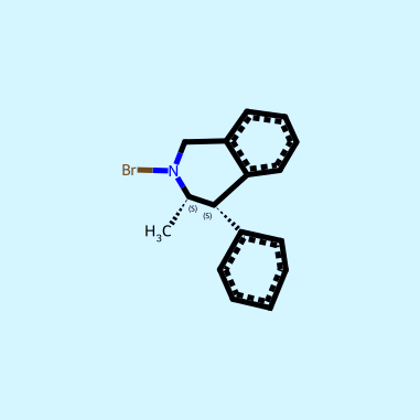 C[C@H]1[C@@H](c2ccccc2)c2ccccc2CN1Br